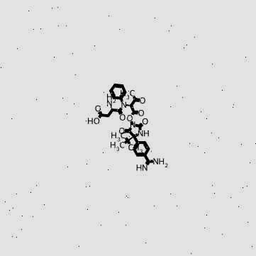 CC(=O)[C@@H](C(=O)ON1C(=O)N[C@@](c2ccc(C(=N)N)cc2)(C(C)(C)C)C1=O)N(C(=O)[C@@H](N)CC(=O)O)c1ccccc1